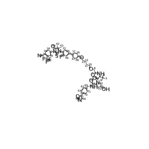 CC(C)(C)[C@H](NC(=O)COCCCCOc1ccc(-c2ccc(N3C(=S)N(c4ccc(C#N)c(C(F)(F)F)c4)C(=O)C3(C)C)c(F)c2)cc1)C(=O)N1C[C@H](O)C[C@H]1C(=O)NCc1ccc(-c2cnco2)cc1